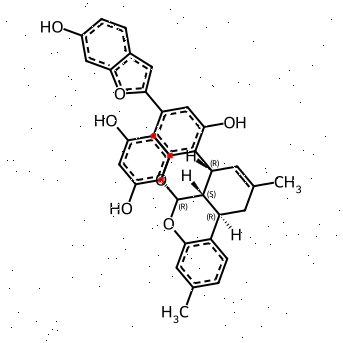 CC1=C[C@H]2c3c(O)cc(-c4cc5ccc(O)cc5o4)cc3O[C@]3(c4ccc(O)cc4O)Oc4cc(C)ccc4[C@H](C1)[C@@H]23